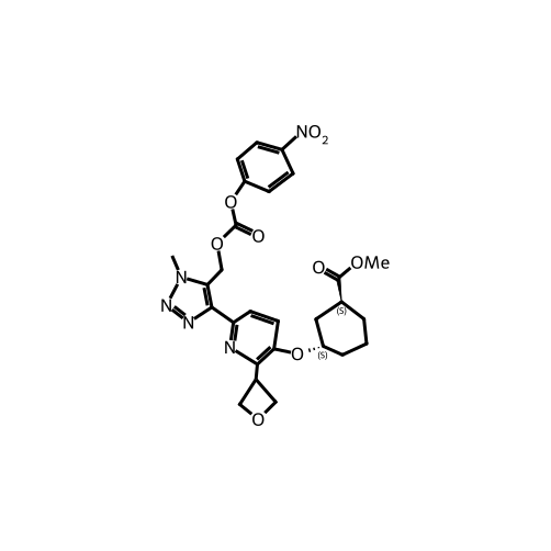 COC(=O)[C@H]1CCC[C@H](Oc2ccc(-c3nnn(C)c3COC(=O)Oc3ccc([N+](=O)[O-])cc3)nc2C2COC2)C1